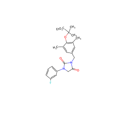 CCOC(=O)C(C)(C)Oc1c(C)cc(CN2C(=O)CN(c3cccc(F)c3)C2=O)cc1C